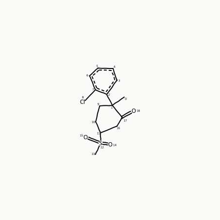 CC1(c2ccccc2Cl)CCC(S(C)(=O)=O)CC1=O